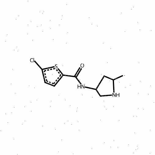 [CH2]C1CC(NC(=O)c2ccc(Cl)s2)CN1